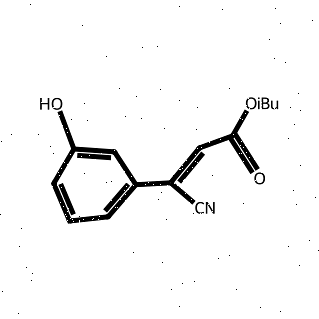 CC(C)COC(=O)C=C(C#N)c1cccc(O)c1